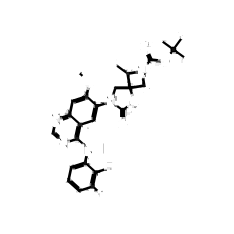 COc1cc2ncnc(Nc3cccc(Cl)c3F)c2cc1N1CC2(CN(C(=O)OC(C)(C)C)C2C)OC1=O